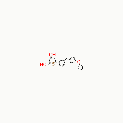 OC[C@@H]1C[C@H](O)C[C@H](c2cccc(Cc3ccc(OC4CCCC4)cc3)c2)S1